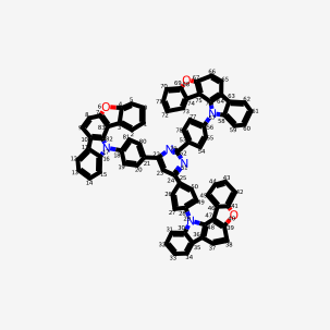 c1ccc2c(c1)oc1ccc3c4ccccc4n(-c4ccc(-c5cc(-c6ccc(-n7c8ccccc8c8ccc9oc%10ccccc%10c9c87)cc6)nc(-c6ccc(-n7c8ccccc8c8ccc9oc%10ccccc%10c9c87)cc6)n5)cc4)c3c12